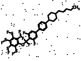 CCCCCC1CCC(c2ccc(-c3cc(F)c(C(F)(F)Oc4c(SF)c(SF)c(SF)c(SF)c4SF)c(F)c3)cc2)CC1